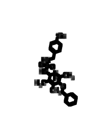 CC1=C(OCc2ccccc2)C(C)=C(C)C(NS(=O)(=O)NCc2ccc(C(C)(C)C)cc2)N1